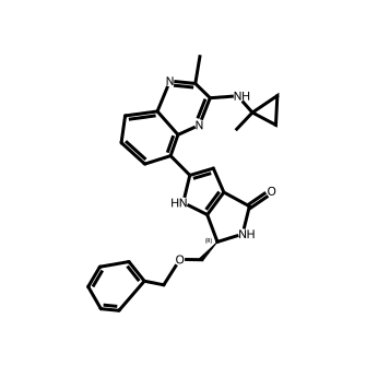 Cc1nc2cccc(-c3cc4c([nH]3)[C@H](COCc3ccccc3)NC4=O)c2nc1NC1(C)CC1